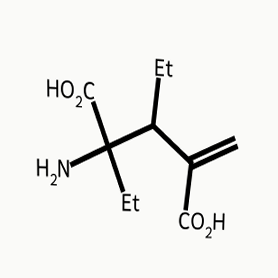 C=C(C(=O)O)C(CC)C(N)(CC)C(=O)O